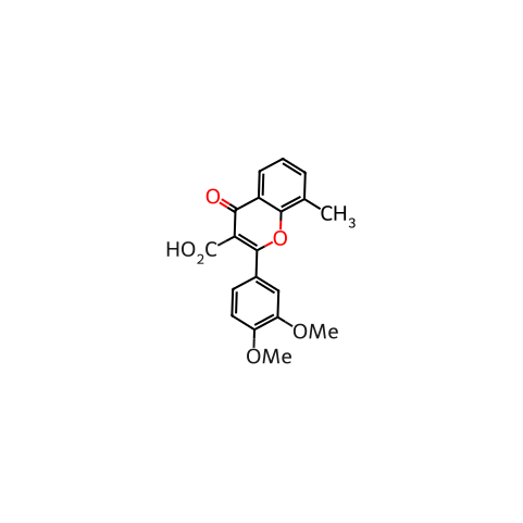 COc1ccc(-c2oc3c(C)cccc3c(=O)c2C(=O)O)cc1OC